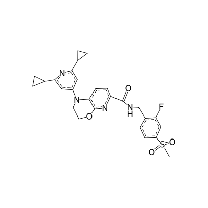 CS(=O)(=O)c1ccc(CNC(=O)c2ccc3c(n2)OCCN3c2cc(C3CC3)nc(C3CC3)c2)c(F)c1